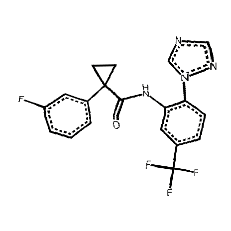 O=C(Nc1cc(C(F)(F)F)ccc1-n1cncn1)C1(c2cccc(F)c2)CC1